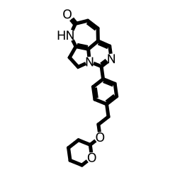 O=C1C=CC2=CN=C(c3ccc(CCOC4CCCCO4)cc3)N3CCC(=C23)N1